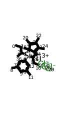 CCC(C)[Si](c1cc(C)cc(C)c1)(C(C)CC)C1(C)C(C)=C(C)C(C)=[C]1[Ti+3].[Cl-].[Cl-].[Cl-]